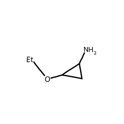 CCOC1CC1N